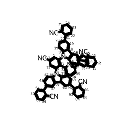 N#Cc1cc(-n2c3ccc(-c4ccccc4C#N)cc3c3cc(-c4ccccc4C#N)ccc32)c(-c2cccc(-c3ccccc3)n2)c(-n2c3ccc(-c4ccccc4C#N)cc3c3cc(-c4ccccc4C#N)ccc32)c1